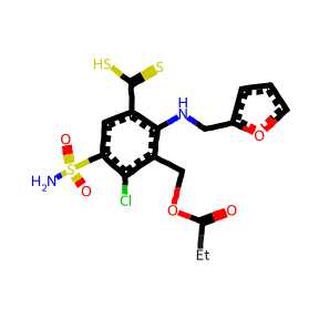 CCC(=O)OCc1c(Cl)c(S(N)(=O)=O)cc(C(=S)S)c1NCc1ccco1